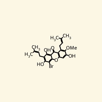 COc1c(O)cc2oc3c(Br)c(O)c(CC=C(C)C)c(O)c3c(=O)c2c1CC=C(C)C